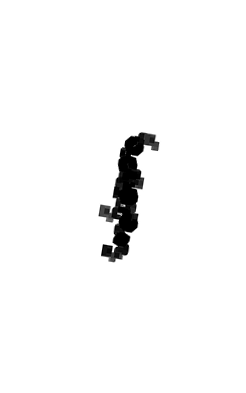 CC[C@@H](Oc1ccc(C(=O)NS(=O)(=O)N2CCC(OC3CCN(C)CC3)CC2)c(F)c1F)c1cc(OC2CC(OC)C2)ccn1